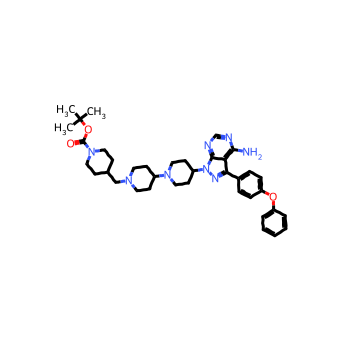 CC(C)(C)OC(=O)N1CCC(CN2CCC(N3CCC(n4nc(-c5ccc(Oc6ccccc6)cc5)c5c(N)ncnc54)CC3)CC2)CC1